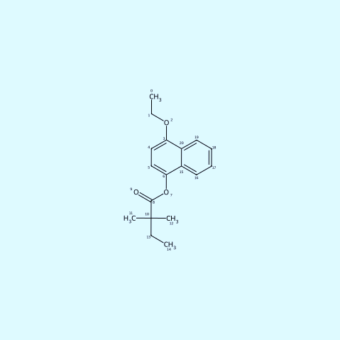 CCOc1ccc(OC(=O)C(C)(C)CC)c2ccccc12